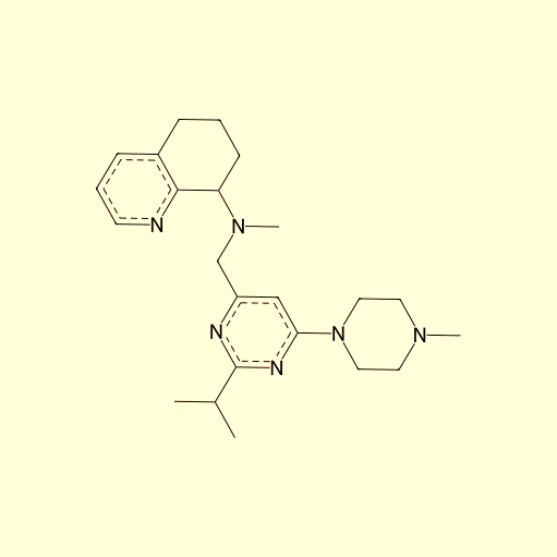 CC(C)c1nc(CN(C)C2CCCc3cccnc32)cc(N2CCN(C)CC2)n1